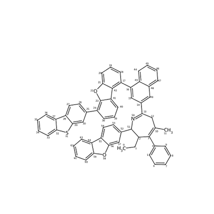 CCC1C(c2ccccc2)=C(C)CC(c2cc(-c3cccc4oc5c(-c6ccc7c(c6)sc6ccccc67)cccc5c34)c3ccccc3c2)=NC1c1ccc2c(c1)oc1ccccc12